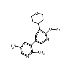 CCOc1ncc(-c2cc(N)cnc2C)cc1C1CCOCC1